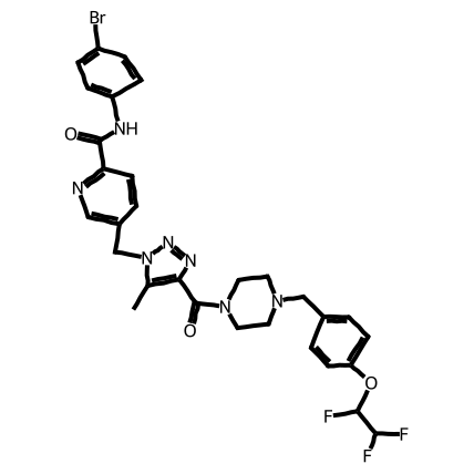 Cc1c(C(=O)N2CCN(Cc3ccc(OC(F)C(F)F)cc3)CC2)nnn1Cc1ccc(C(=O)Nc2ccc(Br)cc2)nc1